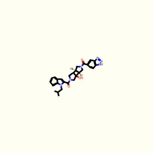 CC(C)Cn1c(C(=O)N2CC3[C@H]4CN(C(=O)c5ccc6[nH]nnc6c5)C[C@H]4C3(O)C2)cc2ccccc21